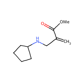 C=C(CNC1CCCC1)C(=O)OC